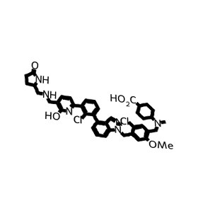 COc1cc(Cn2ncc3c(-c4cccc(-c5ccc(CNCC6CCC(=O)N6)c(O)n5)c4Cl)cccc32)c(Cl)cc1CN(C)C1CCC(C(=O)O)CC1